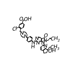 C=CCn1c(=O)c2cnc(Nc3ccc(N4CCN(Cc5ccc(C(=O)O)cc5Cl)CC4)cc3)nc2n1-c1ccc2c(n1)[C@@](O)(CC)CC2